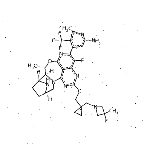 Cc1nc(N)cc(-c2nc3c4c(nc(OCC5(CN6CC(C)(F)C6)CC5)nc4c2F)N2C[C@H]4CC[C@H](N4)[C@H]2[C@H](C)O3)c1C(F)(F)F